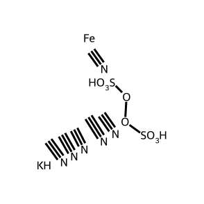 C#N.C#N.C#N.C#N.C#N.C#N.O=S(=O)(O)OOS(=O)(=O)O.[Fe].[KH]